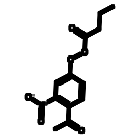 CCCC(=O)OOc1ccc(C(C)=O)c([N+](=O)[O-])c1